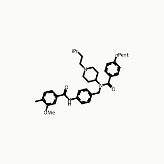 CCCCCc1ccc(C(=O)N(Cc2ccc(NC(=O)c3ccc(C)c(OC)c3)cc2)C2CCN(CCC(C)C)CC2)cc1